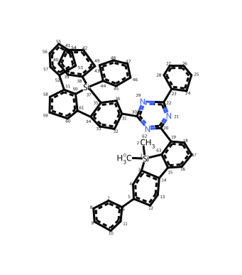 C[Si]1(C)c2cc(-c3ccccc3)ccc2-c2cccc(-c3nc(-c4ccccc4)nc(-c4ccc5c(c4)[Si](c4ccccc4)(c4ccccc4)c4c(-c6ccccc6)cccc4-5)n3)c21